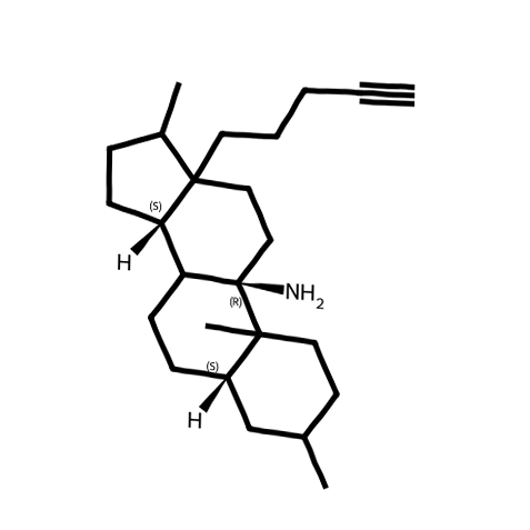 C#CCCCC12CC[C@@]3(N)C(CC[C@H]4CC(C)CCC43C)[C@@H]1CCC2C